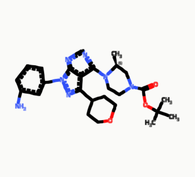 C[C@H]1CN(C(=O)OC(C)(C)C)CCN1c1ncnc2c1c(C1CCOCC1)nn2-c1cccc(N)c1